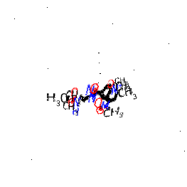 CCN(C(=O)[O-])[C@@H]1C[C@H](C)[N+](C)(C(C)=O)c2ccc(-c3nc(CCNC(=O)OC(C)(C)C)no3)cc21